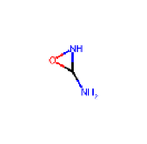 NC1NO1